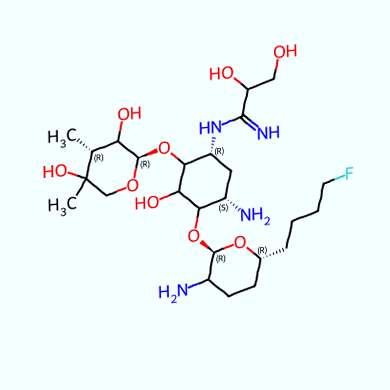 C[C@@H]1C(O)[C@@H](OC2C(O)C(O[C@H]3O[C@H](CCCCF)CCC3N)[C@@H](N)C[C@H]2NC(=N)C(O)CO)OCC1(C)O